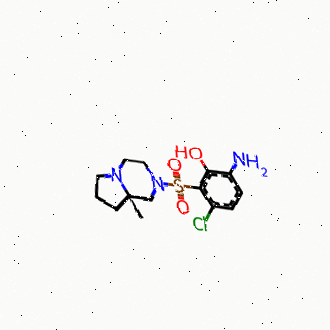 C[C@@]12CCCN1CCN(S(=O)(=O)c1c(Cl)ccc(N)c1O)C2